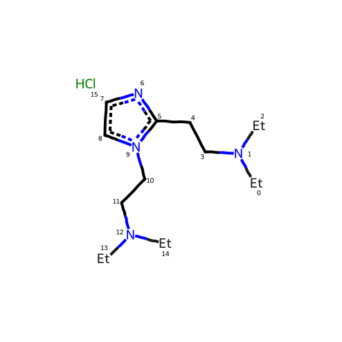 CCN(CC)CCc1nccn1CCN(CC)CC.Cl